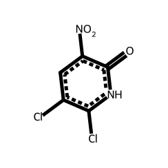 O=c1[nH]c(Cl)c(Cl)cc1[N+](=O)[O-]